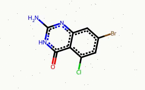 Nc1nc2cc(Br)cc(Cl)c2c(=O)[nH]1